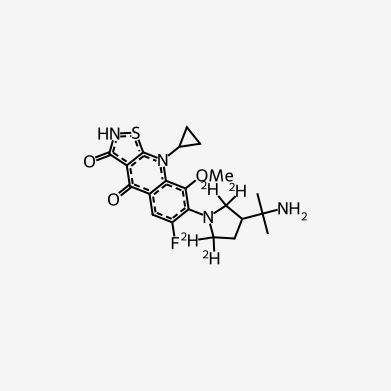 [2H]C1([2H])CC(C(C)(C)N)C([2H])([2H])N1c1c(F)cc2c(=O)c3c(=O)[nH]sc3n(C3CC3)c2c1OC